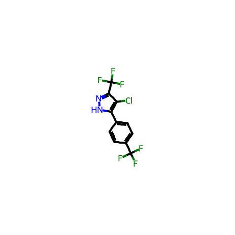 FC(F)(F)c1ccc(-c2[nH]nc(C(F)(F)F)c2Cl)cc1